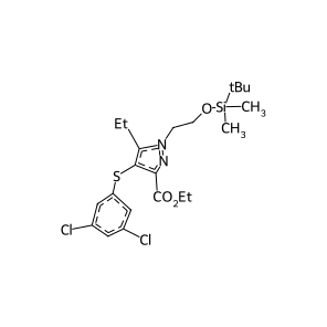 CCOC(=O)c1nn(CCO[Si](C)(C)C(C)(C)C)c(CC)c1Sc1cc(Cl)cc(Cl)c1